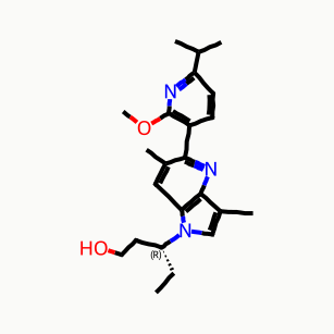 CC[C@H](CCO)n1cc(C)c2nc(-c3ccc(C(C)C)nc3OC)c(C)cc21